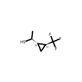 CC(S)[C@H]1C[C@@H]1C(F)(F)F